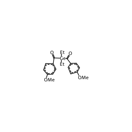 C[CH2][Ge]([CH2]C)([C](=O)c1ccc(OC)cc1)[C](=O)c1ccc(OC)cc1